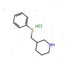 Cl.c1ccc(SCC2CCCNC2)cc1